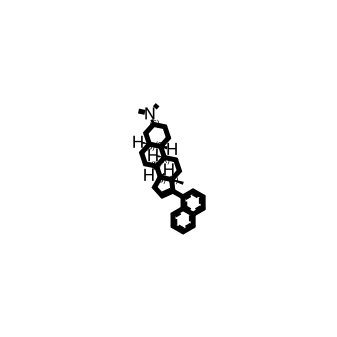 CN(C)[C@H]1CC[C@H]2[C@@H](CC[C@@H]3[C@@H]2CC[C@]2(C)C(c4cccc5ccccc45)=CC[C@@H]32)C1